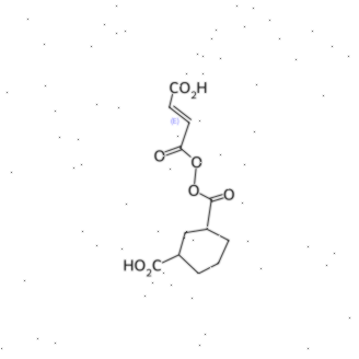 O=C(O)/C=C/C(=O)OOC(=O)C1CCCC(C(=O)O)C1